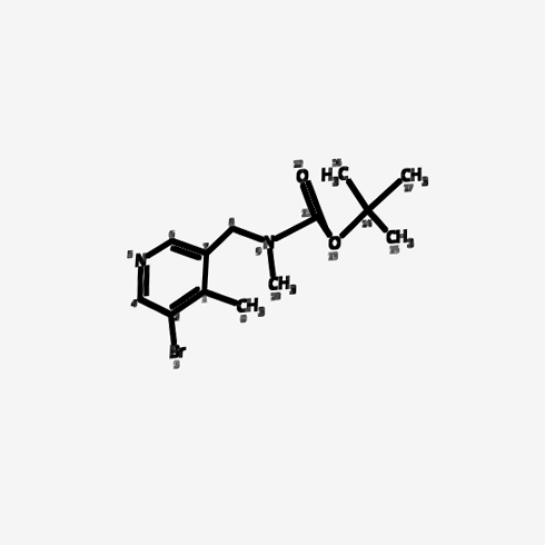 Cc1c(Br)cncc1CN(C)C(=O)OC(C)(C)C